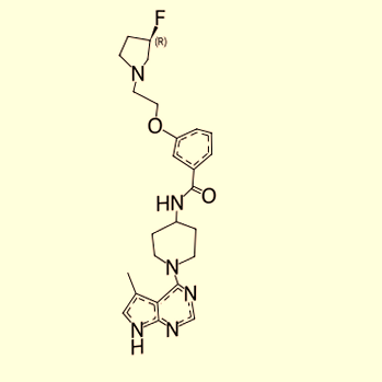 Cc1c[nH]c2ncnc(N3CCC(NC(=O)c4cccc(OCCN5CC[C@@H](F)C5)c4)CC3)c12